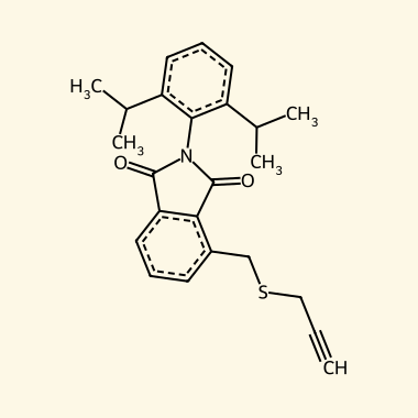 C#CCSCc1cccc2c1C(=O)N(c1c(C(C)C)cccc1C(C)C)C2=O